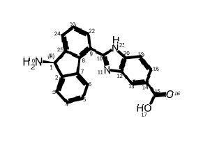 N[C@@H]1c2ccccc2-c2c(-c3nc4cc(C(=O)O)ccc4[nH]3)cccc21